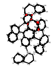 c1ccc(-c2ccc3ccccc3c2-c2c3ccc(N4CCCc5ccccc54)cc3c(-c3c(-c4ccccc4)ccc4ccccc34)c3ccc(N4CCCc5ccccc54)cc23)cc1